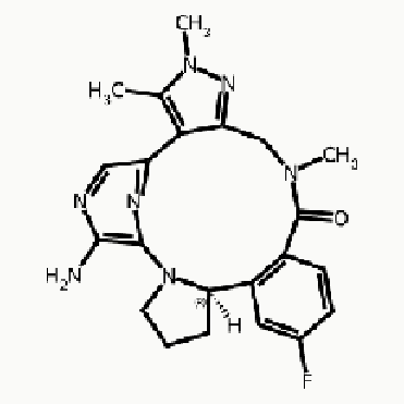 Cc1c2c(nn1C)CN(C)C(=O)c1ccc(F)cc1[C@H]1CCCN1c1nc-2cnc1N